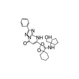 O=C(NC1(CO)CCCC1)C1(OCc2cc(=O)n3nc(-c4ccccc4)nc3[nH]2)CCCCC1